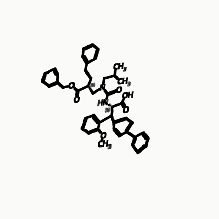 COc1ccccc1C(c1ccc(-c2ccccc2)cc1)[C@H](NC(=O)N(CC(C)C)C[C@H](CCc1ccccc1)C(=O)OCc1ccccc1)C(=O)O